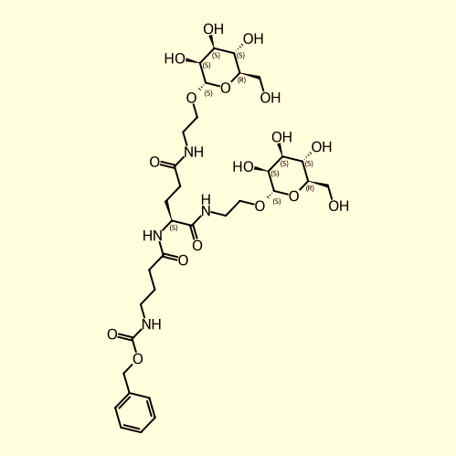 O=C(CC[C@H](NC(=O)CCCNC(=O)OCc1ccccc1)C(=O)NCCO[C@H]1O[C@H](CO)[C@@H](O)[C@H](O)[C@@H]1O)NCCO[C@H]1O[C@H](CO)[C@@H](O)[C@H](O)[C@@H]1O